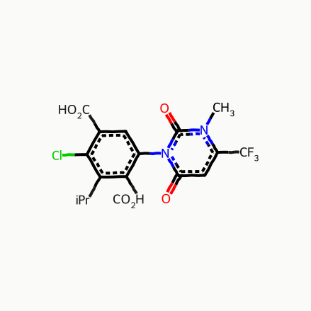 CC(C)c1c(Cl)c(C(=O)O)cc(-n2c(=O)cc(C(F)(F)F)n(C)c2=O)c1C(=O)O